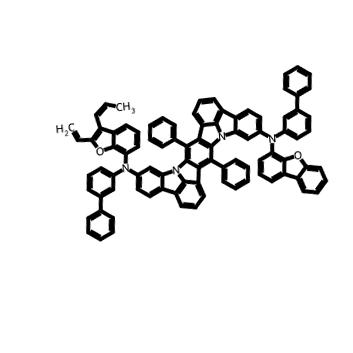 C=Cc1oc2c(N(c3cccc(-c4ccccc4)c3)c3ccc4c5cccc6c7c(-c8ccccc8)c8c(c(-c9ccccc9)c7n(c4c3)c56)c3cccc4c5ccc(N(c6cccc(-c7ccccc7)c6)c6cccc7c6oc6ccccc67)cc5n8c43)cccc2c1/C=C\C